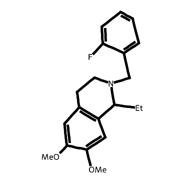 CCC1c2cc(OC)c(OC)cc2CCN1Cc1ccccc1F